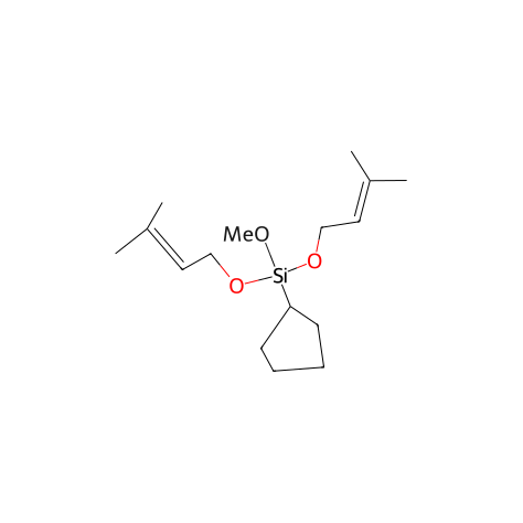 CO[Si](OCC=C(C)C)(OCC=C(C)C)C1CCCC1